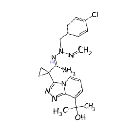 C=NN(CC1C=CC(Cl)=CC1)/N=C(\N)C1(c2nnc3c(C(C)(C)O)cccn23)CC1